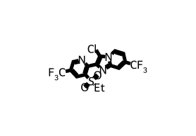 CCS(=O)(=O)c1cc(C(F)(F)F)cnc1-c1nc2cc(C(F)(F)F)ccn2c1Cl